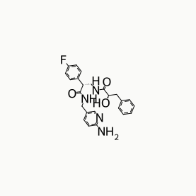 Nc1ccc(CNC(=O)[C@@H](CNC(=O)[C@H](O)Cc2ccccc2)c2ccc(F)cc2)cn1